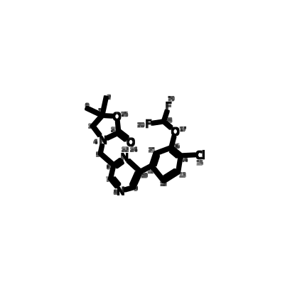 CC1(C)CN(Cc2cncc(-c3ccc(Cl)c(OC(F)F)c3)n2)C(=O)O1